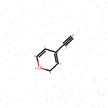 C#CC1=CCOC=C1